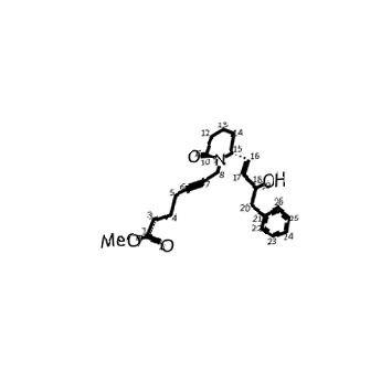 COC(=O)CCCC#CCN1C(=O)CCC[C@@H]1/C=C/C(O)Cc1ccccc1